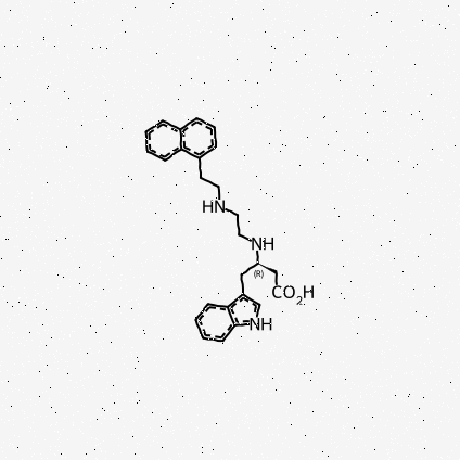 O=C(O)C[C@@H](Cc1c[nH]c2ccccc12)NCCNCCc1cccc2ccccc12